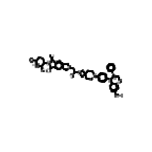 O=C1CCC(N2C(=O)c3cc4c(cc3C2=O)CN(CC(=O)N2CC3(CCN(c5ccc([C@@H]6c7ccc(O)cc7OC[C@@H]6c6ccccc6)cc5)CC3)C2)C4)C(=O)N1